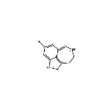 Fc1cc2c3c(c1)=CNCCC=3CN2